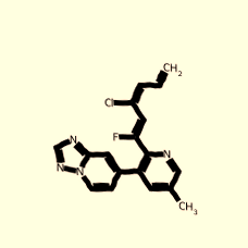 C=C/C=C(Cl)\C=C(/F)c1ncc(C)cc1-c1ccn2ncnc2c1